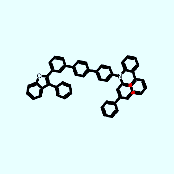 c1ccc(-c2cccc(N(c3ccc(-c4ccc(-c5cccc(-c6oc7ccccc7c6-c6ccccc6)c5)cc4)cc3)c3ccccc3-c3ccccc3)c2)cc1